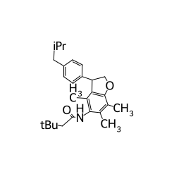 Cc1c(C)c2c(c(C)c1NC(=O)CC(C)(C)C)C(c1ccc(CC(C)C)cc1)CO2